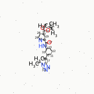 CCn1cnnc1C[C@@H](C)c1cccc(NC(=O)c2cc(C(=O)OC(C)(C)C)ccn2)c1